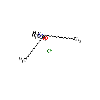 CCCCCCCCC=CCCCCCCCC(=O)CC(C[N+](C)(C)C)C(=O)CCCCCCCC=CCCCCCCCC.[Cl-]